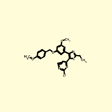 CCc1nc(-c2cc(OC)cc(OCc3ccc(OC)cc3)c2)c(-c2ccnc(Cl)n2)s1